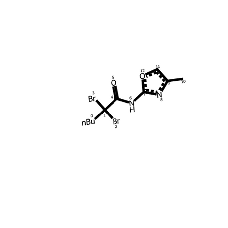 CCCCC(Br)(Br)C(=O)Nc1nc(C)co1